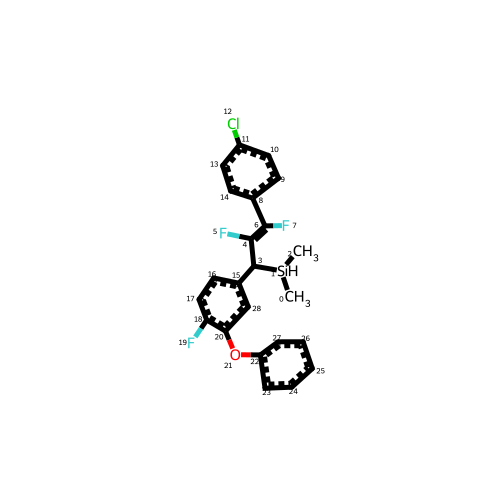 C[SiH](C)C(C(F)=C(F)c1ccc(Cl)cc1)c1ccc(F)c(Oc2ccccc2)c1